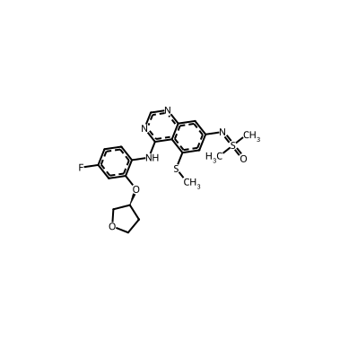 CSc1cc(N=S(C)(C)=O)cc2ncnc(Nc3ccc(F)cc3O[C@H]3CCOC3)c12